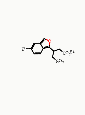 CCOC(=O)CC(C[N+](=O)[O-])c1occ2cc(CC)ccc12